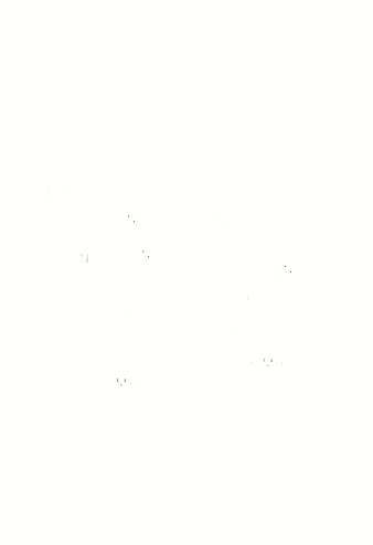 CO/C=C(/C(=O)OC)c1sc2nc(C)nn2c1COc1ccccc1C#N